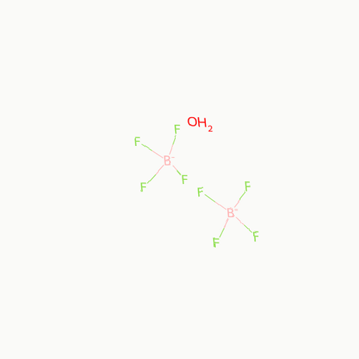 F[B-](F)(F)F.F[B-](F)(F)F.O